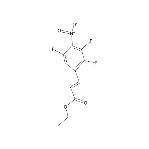 CCOC(=O)C=Cc1cc(F)c([N+](=O)[O-])c(F)c1F